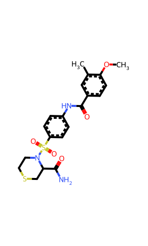 COc1ccc(C(=O)Nc2ccc(S(=O)(=O)N3CCSCC3C(N)=O)cc2)cc1C